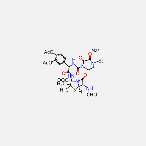 CCN1CCN(C(=O)NC(C(=O)N[C@@]2(C(=O)[O-])N3C(=O)[C@@H](NC=O)[C@H]3SC2(C)C)c2ccc(OC(C)=O)c(OC(C)=O)c2)C(=O)C1=O.[Na+]